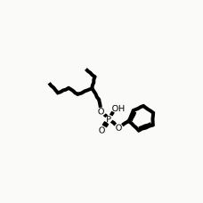 CCCCC(CC)COP(=O)(O)OC1=CCCC=C1